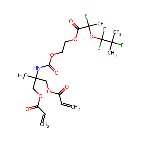 C=CC(=O)OCC(C)(COC(=O)C=C)NC(=O)OCCOC(=O)C(F)(OC(F)(F)C(C)(F)C(F)(F)F)C(F)(F)F